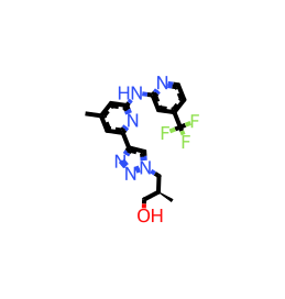 Cc1cc(Nc2cc(C(F)(F)F)ccn2)nc(-c2cn(C[C@@H](C)CO)nn2)c1